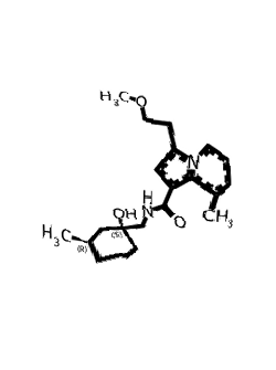 COCCc1cc(C(=O)NC[C@]2(O)CCC[C@@H](C)C2)c2c(C)cccn12